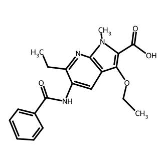 CCOc1c(C(=O)O)n(C)c2nc(CC)c(NC(=O)c3ccccc3)cc12